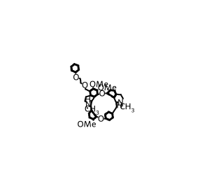 COc1ccc2cc1Oc1ccc(cc1)C[C@H]1c3cc(ccc3CCN1C)Oc1c(OC)c(OC)c(COCCOc3ccccc3)c3c1[C@H](C2)N(C)CC3